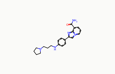 NC(=O)c1cccn2cc(-c3ccc(NCCCN4CCCC4)cc3)nc12